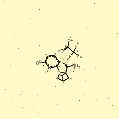 NC(=O)C12CC(CN1c1cccc(Br)n1)C2.O=C(O)C(F)(F)F